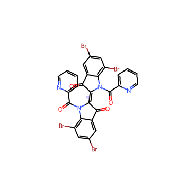 O=C1/C(=C2/C(=O)c3cc(Br)cc(Br)c3N2C(=O)c2ccccn2)N(C(=O)c2ccccn2)c2c(Br)cc(Br)cc21